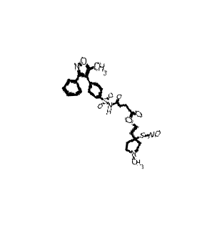 Cc1onc(-c2ccccc2)c1-c1ccc(S(=O)(=O)NC(=O)CCC(=O)OCCC2(SN=O)CCN(C)CC2)cc1